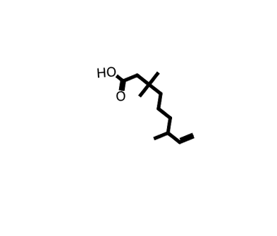 C=CC(C)CCCC(C)(C)CC(=O)O